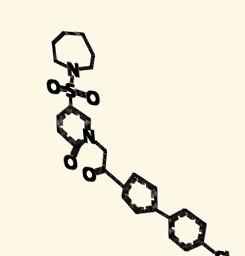 O=C(Cn1cc(S(=O)(=O)N2CCCCCC2)ccc1=O)c1ccc(-c2ccc(Cl)cc2)cc1